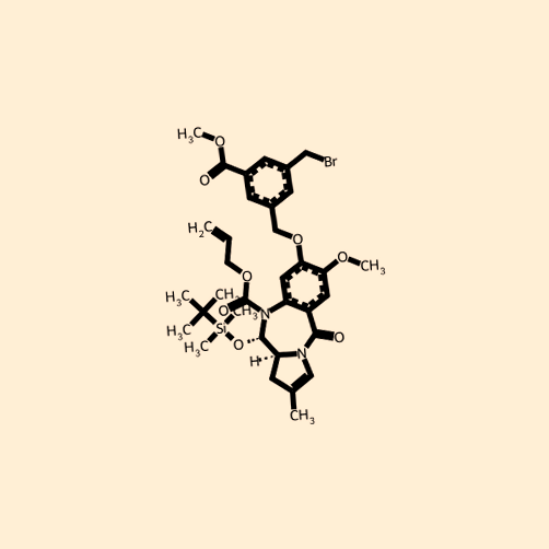 C=CCOC(=O)N1c2cc(OCc3cc(CBr)cc(C(=O)OC)c3)c(OC)cc2C(=O)N2C=C(C)C[C@H]2[C@@H]1O[Si](C)(C)C(C)(C)C